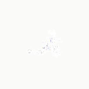 CCCCC(C)(C)C(=O)NC[C@H](O)[C@H](C[C@H](Cc1cccc(OCc2ccccc2)c1)C(C)C)NC(=O)OC(C)(C)C